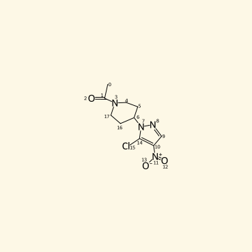 CC(=O)N1CCC(n2ncc([N+](=O)[O-])c2Cl)CC1